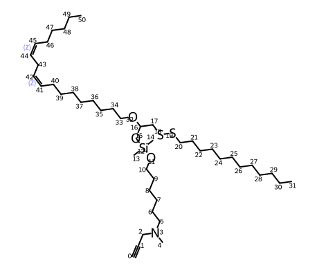 C#CCN(C)CCCCCCO[Si](C)(C)OC(CSSCCCCCCCCCCCC)OCCCCCCCC/C=C\C/C=C\CCCCC